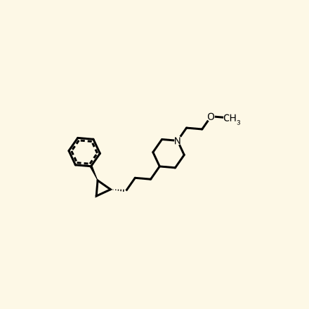 COCCN1CCC(CCC[C@@H]2C[C@H]2c2ccccc2)CC1